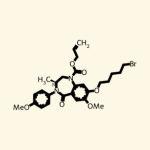 C=CCOC(=O)N1C[C@H](C)N(c2ccc(OC)cc2)C(=O)c2cc(OC)c(OCCCCCBr)cc21